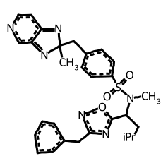 CC(C)CC(c1nc(Cc2ccccc2)no1)N(C)S(=O)(=O)c1ccc(CC2(C)N=c3ccncc3=N2)cc1